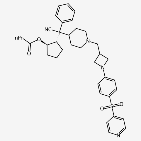 CCCC(=O)O[C@@H]1CCC[C@H]1C(C#N)(c1ccccc1)C1CCN(CC2CN(c3ccc(S(=O)(=O)c4ccncc4)cc3)C2)CC1